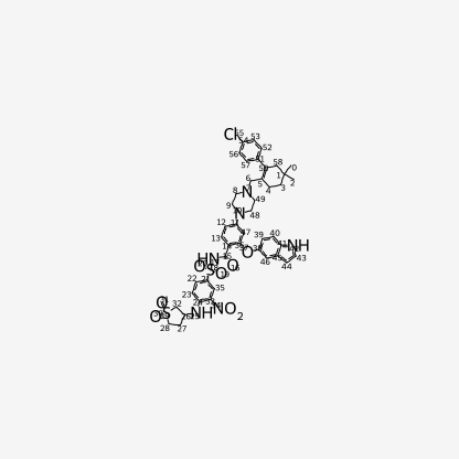 CC1(C)CCC(CN2CCN(c3ccc(C(=O)NS(=O)(=O)c4ccc(NC5CCS(=O)(=O)C5)c([N+](=O)[O-])c4)c(Oc4ccc5[nH]ccc5c4)c3)CC2)=C(c2ccc(Cl)cc2)C1